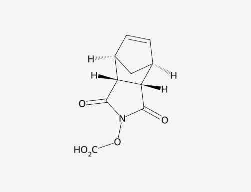 O=C(O)ON1C(=O)[C@@H]2[C@H](C1=O)[C@H]1C=C[C@@H]2C1